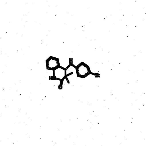 CCc1ccc(NC2c3ccccc3NC(=O)C2(C)C)cc1